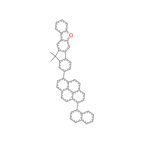 CC1(C)c2cc(-c3ccc4ccc5c(-c6cccc7ccccc67)ccc6ccc3c4c65)ccc2-c2cc3oc4ccccc4c3cc21